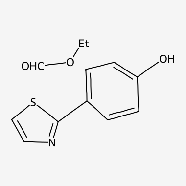 CCOC=O.Oc1ccc(-c2nccs2)cc1